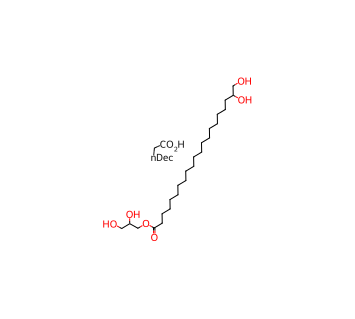 CCCCCCCCCCCC(=O)O.O=C(CCCCCCCCCCCCCCCCCCC(O)CO)OCC(O)CO